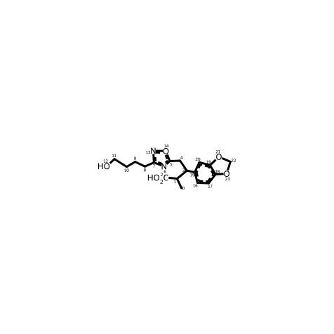 CC(C(=O)O)C(Cc1nc(CCCCO)no1)c1ccc2c(c1)OCO2